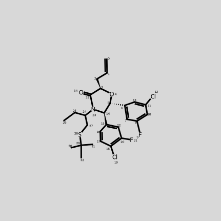 C=CC[C@H]1O[C@H](c2cc(F)cc(Cl)c2)[C@@H](c2ccc(Cl)c(F)c2)N(C(CC)CSC(C)(C)C)C1=O